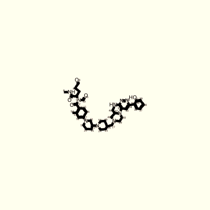 CNC(=O)C(CCC=O)N(C=O)C(=O)c1ccc(N2CCCC(N3CCC(CN4CCN5c6cc(-c7ccccc7O)nnc6NCC5C4)CC3)C2)cc1C